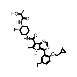 Cc1[nH]c2c(-c3cc(F)ccc3OCC3CC3)ncnc2c1C(=O)N[C@@H]1CC[C@@H](NC(=O)[C@H](C)O)[C@H](F)C1